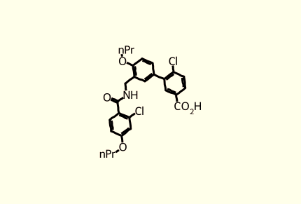 CCCOc1ccc(C(=O)NCc2cc(-c3cc(C(=O)O)ccc3Cl)ccc2OCCC)c(Cl)c1